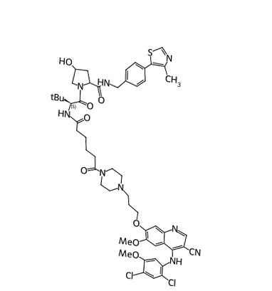 COc1cc(Nc2c(C#N)cnc3cc(OCCCN4CCN(C(=O)CCCCC(=O)N[C@H](C(=O)N5CC(O)CC5C(=O)NCc5ccc(-c6scnc6C)cc5)C(C)(C)C)CC4)c(OC)cc23)c(Cl)cc1Cl